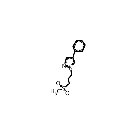 CS(=O)(=O)CCCn1cc(-c2ccccc2)cn1